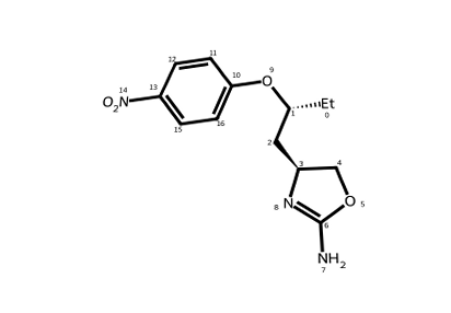 CC[C@H](C[C@H]1COC(N)=N1)Oc1ccc([N+](=O)[O-])cc1